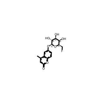 Cc1cc(=O)oc2ccc(O[C@@H]3O[C@H](CF)[C@H](O)[C@H](O)[C@H]3O)cc12